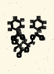 C[C@]1(Cl)C(=O)O[C@H](COC(=O)c2ccccc2)[C@H]1OC(=O)c1ccccc1